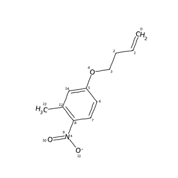 C=CCCOc1ccc([N+](=O)[O-])c(C)c1